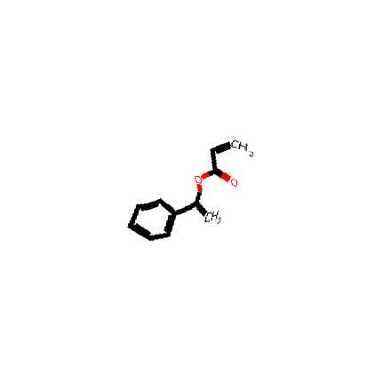 C=CC(=O)OC(C)c1ccccc1